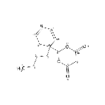 CCCCC1(C2OC(=O)CC(=O)O2)C=CC=CC1